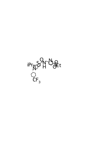 CCS(=O)(=O)c1ccc(CNC(=O)c2cc3c(s2)[C@H](C(C)C)N(C[C@H]2CC[C@H](C(F)(F)F)CC2)C3)nc1